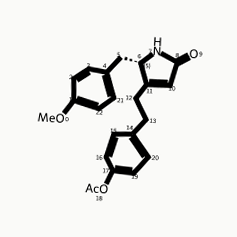 COc1ccc(C[C@@H]2NC(=O)C=C2CCc2ccc(OC(C)=O)cc2)cc1